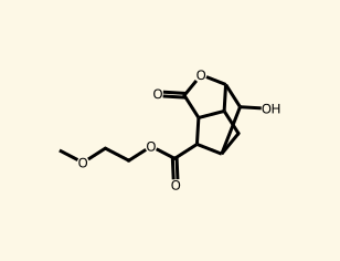 COCCOC(=O)C1C2CC3C(OC(=O)C31)C2O